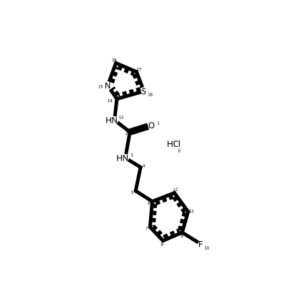 Cl.O=C(NCCc1ccc(F)cc1)Nc1nccs1